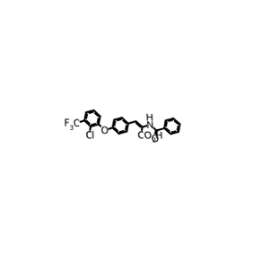 O=C(O)/C(=C\c1ccc(Oc2cccc(C(F)(F)F)c2Cl)cc1)NC(=O)c1ccccc1